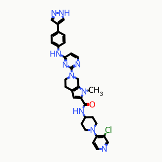 Cn1c(C(=O)NC2CCN(c3ccncc3Cl)CC2)cc2c1CN(c1nccc(Nc3ccc(-c4cn[nH]c4)cc3)n1)CC2